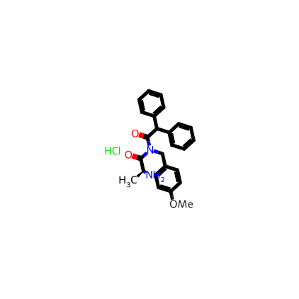 COc1ccc(CN(C(=O)C(c2ccccc2)c2ccccc2)C(=O)[C@H](C)N)cc1.Cl